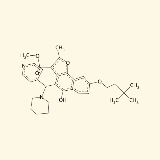 COC(=O)c1c(C)oc2c1c(C(c1ccncc1)N1CCCCC1)c(O)c1ccc(OCCC(C)(C)C)cc12